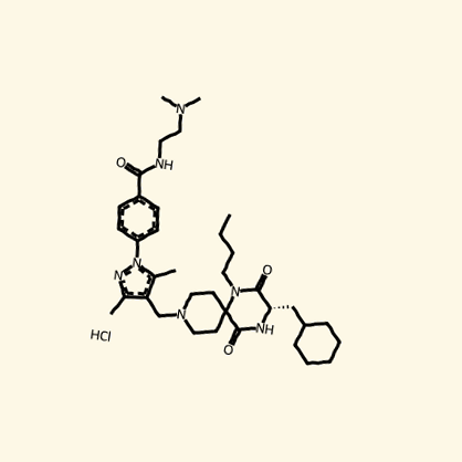 CCCCN1C(=O)[C@H](CC2CCCCC2)NC(=O)C12CCN(Cc1c(C)nn(-c3ccc(C(=O)NCCN(C)C)cc3)c1C)CC2.Cl